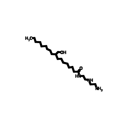 CCCCCCCCCC(CO)CCCCCCCC(=O)NCCNCCN